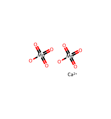 [Ca+2].[O]=[Mn](=[O])(=[O])[O-].[O]=[Mn](=[O])(=[O])[O-]